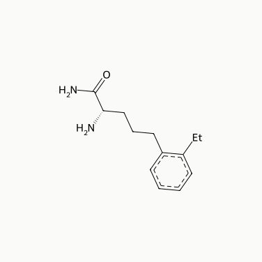 CCc1ccccc1CCC[C@H](N)C(N)=O